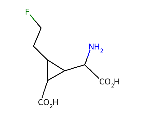 NC(C(=O)O)C1C(CCF)C1C(=O)O